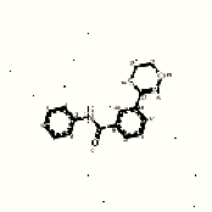 O=C(Nc1ccccc1)c1cccc(C2=NOCCS2)c1